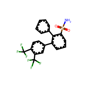 NS(=O)(=O)c1cccc(-c2ccc(C(F)(F)F)c(C(F)(F)F)c2)c1-c1ccccc1